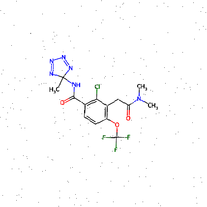 CN(C)C(=O)Cc1c(OC(F)(F)F)ccc(C(=O)NC2(C)N=NN=N2)c1Cl